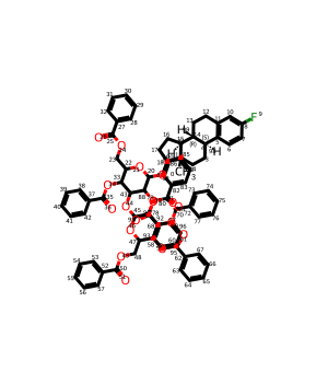 C[C@]12CC[C@@H]3c4ccc(F)cc4CC[C@H]3[C@@H]1CC[C@@H]2OC1OC(COC(=O)c2ccccc2)C(OC(=O)c2ccccc2)C(OC2OC(COC(=O)c3ccccc3)C(OC(=O)c3ccccc3)C(OC(=O)c3ccccc3)C2OC(=O)c2ccccc2)C1OC(=O)c1ccccc1